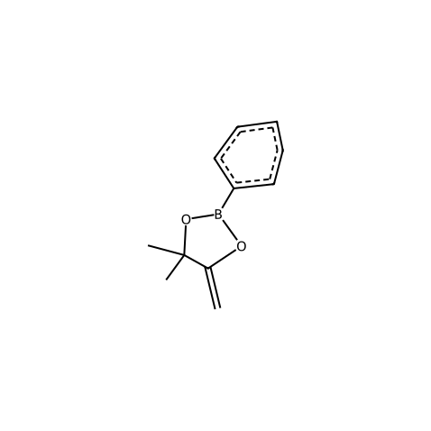 C=C1OB(c2ccccc2)OC1(C)C